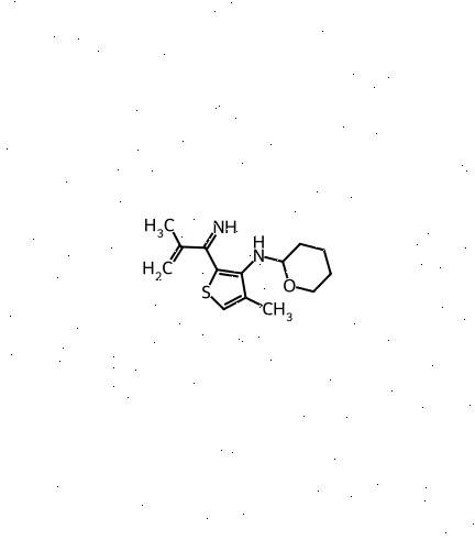 C=C(C)C(=N)c1scc(C)c1NC1CCCCO1